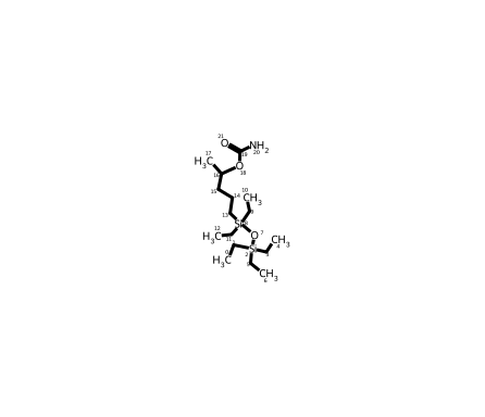 CC[Si](CC)(CC)O[Si](CC)(CC)CCCC(C)OC(N)=O